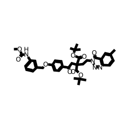 COC(=O)Nc1cccc(COc2ccc(C(=O)CC(CCn3nnc4ccc(C)cc4c3=O)(C(=O)OC(C)(C)C)C(=O)OC(C)(C)C)cc2)c1